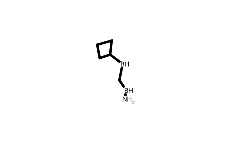 NBCBC1CCC1